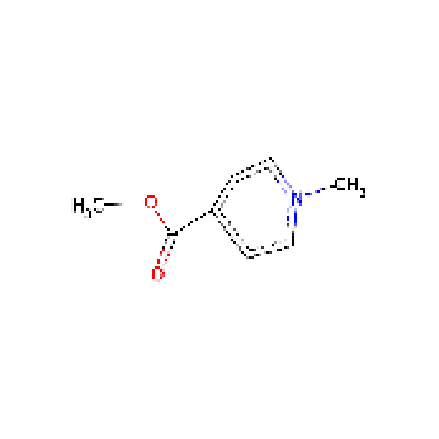 COC(=O)c1cc[n+](C)cc1